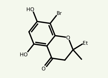 CCC1(C)CC(=O)c2c(O)cc(O)c(Br)c2O1